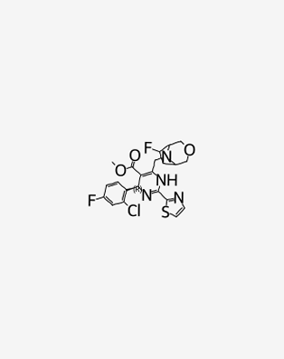 COC(=O)C1=C(CN2C3COCC2C(F)C3)NC(c2nccs2)=N[C@H]1c1ccc(F)cc1Cl